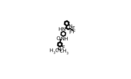 CN(C)c1ccc(C(=O)N[C@H]2CC[C@@H](Nc3cc(C(F)(F)F)nc4ccccc34)CC2)cc1F